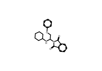 O=C1c2ccccc2C(=O)N1C([CH]Oc1ccccc1)NC1CCCCC1